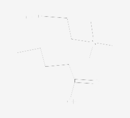 CCCCC(=O)O.CCCCCCCCCC[N+](C)(C)C